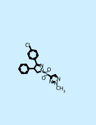 Cn1ncc(S(=O)(=O)N2CC(c3ccccc3)C(c3ccc(Cl)cc3)=N2)n1